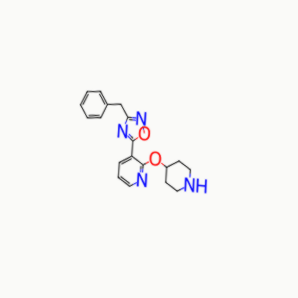 c1ccc(Cc2noc(-c3cccnc3OC3CCNCC3)n2)cc1